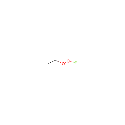 CCOOF